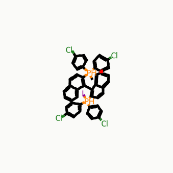 C[PH](c1ccc(Cl)cc1)(c1ccc(Cl)cc1)c1ccc2ccccc2c1-c1c([PH](I)(c2ccc(Cl)cc2)c2ccc(Cl)cc2)ccc2ccccc12